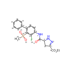 CCOC(=O)C1=NNC(C(=O)Nc2ccc(-c3ccccc3)c(S(C)(=O)=O)c2F)C1